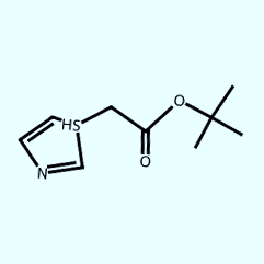 CC(C)(C)OC(=O)C[SH]1C=CN=C1